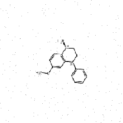 COc1ccc2c(c1)[C@H](c1ccccc1)CC[C@@H]2N